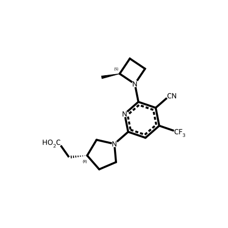 C[C@H]1CCN1c1nc(N2CC[C@H](CC(=O)O)C2)cc(C(F)(F)F)c1C#N